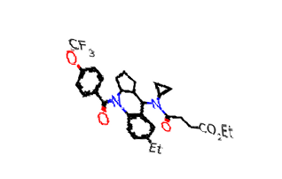 CCOC(=O)CCC(=O)N(C1CC1)C1c2cc(CC)ccc2N(C(=O)c2ccc(OC(F)(F)F)cc2)C2CCCC21